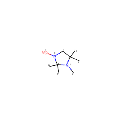 CN1C(C)(C)CN(O)C1(C)C